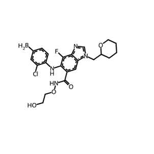 Bc1ccc(Nc2c(C(=O)NOCCO)cc3c(ncn3CC3CCCCO3)c2F)c(Cl)c1